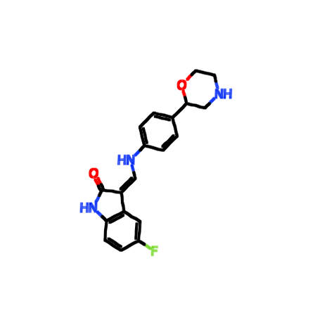 O=C1Nc2ccc(F)cc2C1=CNc1ccc(C2CNCCO2)cc1